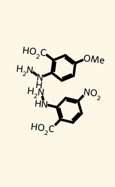 COc1ccc(NN)c(C(=O)O)c1.NNc1cc([N+](=O)[O-])ccc1C(=O)O